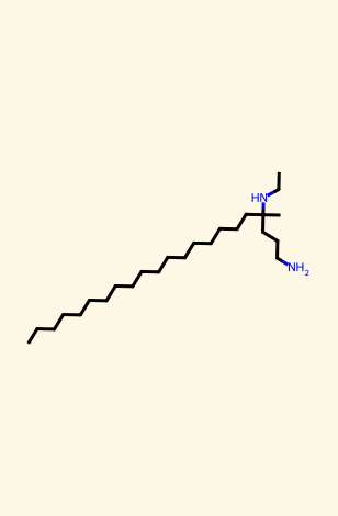 CCCCCCCCCCCCCCCCCCC(C)(CCCN)NCC